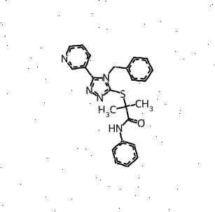 CC(C)(Sc1nnc(-c2cccnc2)n1Cc1ccccc1)C(=O)Nc1ccccc1